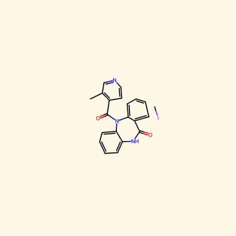 CI.Cc1cnccc1C(=O)N1c2ccccc2NC(=O)c2ccccc21